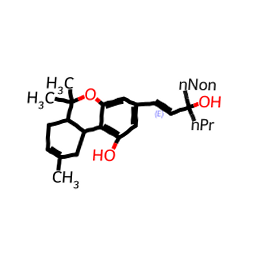 CCCCCCCCCC(O)(/C=C/c1cc(O)c2c(c1)OC(C)(C)C1CC=C(C)CC21)CCC